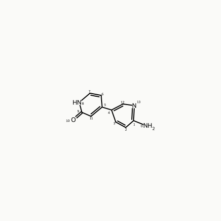 Nc1ccc(-c2cc[nH]c(=O)c2)cn1